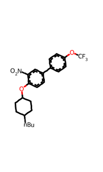 CCCCC1CCC(Oc2ccc(-c3ccc(OC(F)(F)F)cc3)cc2[N+](=O)[O-])CC1